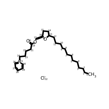 CCCCCCCCCCCCCC1CCC(=COC(=O)CCCC[n+]2ccccc2)O1.[Cl-]